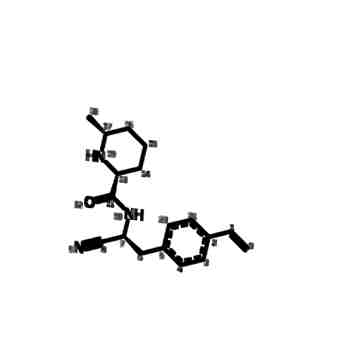 C=Cc1ccc(C[C@@H](C#N)NC(=O)[C@@H]2CCC[C@H](C)N2)cc1